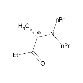 CCCN(CCC)[C@@H](C)C(=O)CC